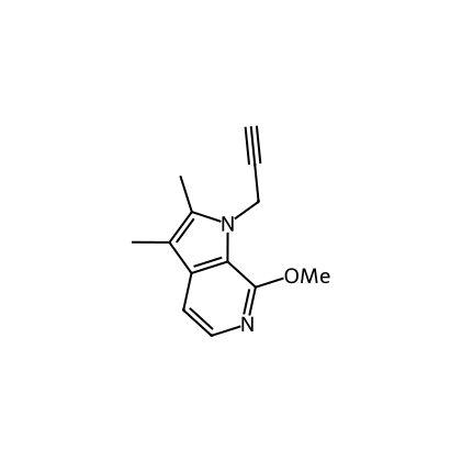 C#CCn1c(C)c(C)c2ccnc(OC)c21